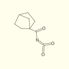 O=C(N=S(=O)=O)C12CCC(CC1)C2